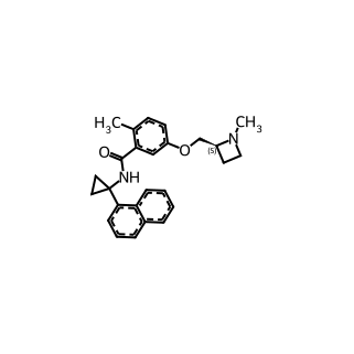 Cc1ccc(OC[C@@H]2CCN2C)cc1C(=O)NC1(c2cccc3ccccc23)CC1